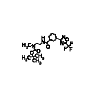 CN(CCNC(=O)c1cccc(-c2noc(C(F)(F)F)n2)c1)C(=O)OC(C)(C)C